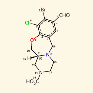 O=Cc1cc2c(c(Cl)c1Br)OC[C@H]1CN(C(=O)O)CCN1C2